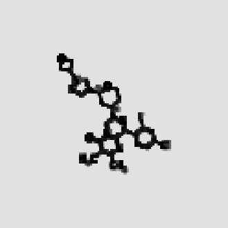 Cc1nc2c(-c3ccc(Cl)cc3F)nc([C@@H]3CCO[C@H](c4cnn(C5COC5)c4)C3)cn2c(=O)c1C